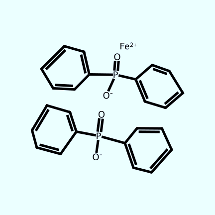 O=P([O-])(c1ccccc1)c1ccccc1.O=P([O-])(c1ccccc1)c1ccccc1.[Fe+2]